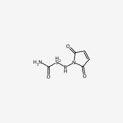 NC(=O)[SiH2]BN1C(=O)C=CC1=O